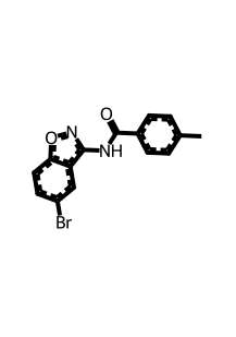 Cc1ccc(C(=O)Nc2noc3ccc(Br)cc23)cc1